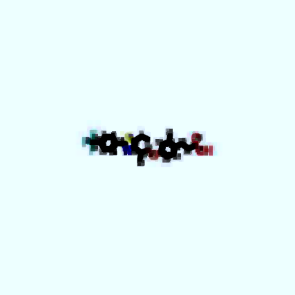 CCc1sc(-c2ccc(C(F)(F)F)cc2)nc1C(C)COc1ccc(CCC(=O)O)c(C)c1